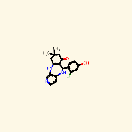 CC1(C)CC(=O)C2=C(C1)Nc1cnccc1NC2c1ccc(O)cc1Cl